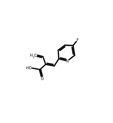 C=C/C(=C\c1ccc(F)cn1)C(=O)O